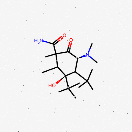 CC1C(C)(C(N)=O)C(=O)[C@@H](N(C)C)C(C(C)(C)C)[C@]1(O)C(C)(C)C